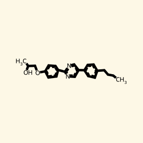 CCCCc1ccc(-c2cnc(-c3ccc(OCC(C)O)cc3)nc2)cc1